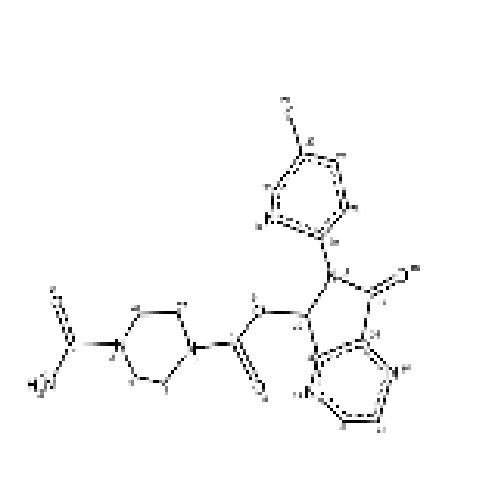 NC(=O)N1CCN(C(=O)OC2c3nccnc3C(=O)N2c2ccc(Cl)cn2)CC1